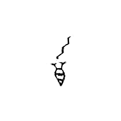 O=C1C2C3C=CC(C4CC34)C2C(=O)N1CCCCCBr